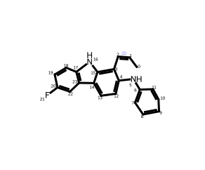 C/C=C\c1c(Nc2ccccc2)ccc2c1[nH]c1ccc(F)cc12